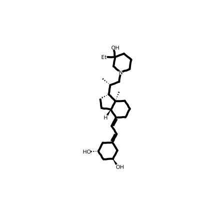 CCC1(O)CCCN(C[C@@H](C)[C@H]2CC[C@H]3/C(=C/C=C4C[C@@H](O)C[C@H](O)C4)CCC[C@]23C)C1